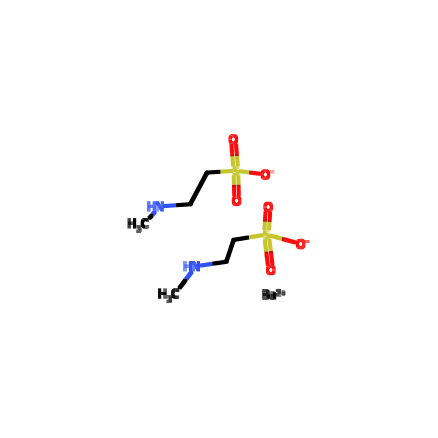 CNCCS(=O)(=O)[O-].CNCCS(=O)(=O)[O-].[Ba+2]